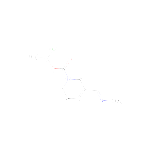 CON=CC1=CCCN(C(=O)OC(C)Cl)C1